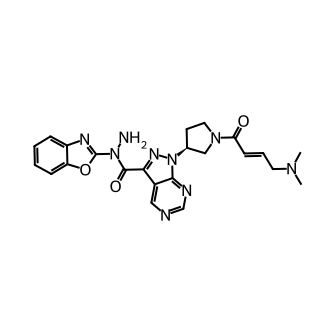 CN(C)C/C=C/C(=O)N1CC[C@H](n2nc(C(=O)N(N)c3nc4ccccc4o3)c3cncnc32)C1